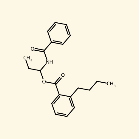 CCCCc1ccccc1C(=O)OC(CC)NC(=O)c1ccccc1